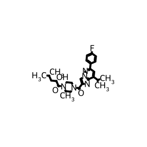 CC(C)CC(O)C(=O)N1CCN(C(=O)c2cn3nc(-c4ccc(F)cc4)cc(C(C)C)c3n2)C[C@@H]1C